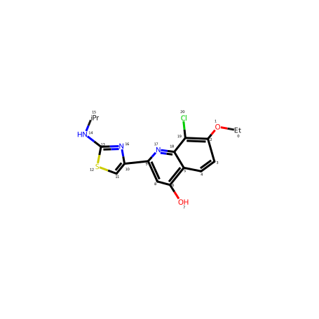 CCOc1ccc2c(O)cc(-c3csc(NC(C)C)n3)nc2c1Cl